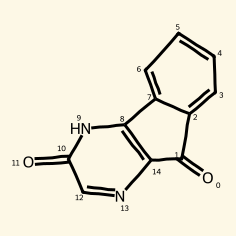 O=C1c2ccccc2-c2[nH]c(=O)cnc21